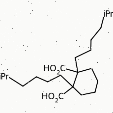 CC(C)CCCCC1(C(=O)O)CCCCC1(CCCCC(C)C)C(=O)O